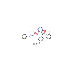 CCc1ccc(-c2c(-c3ccccc3F)oc3ncnc(O[C@@H]4CCCN(Cc5ccccc5)C4)c23)cc1